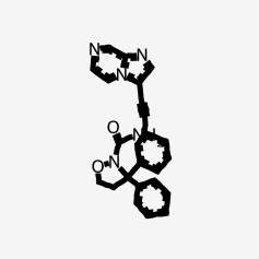 NC(=O)N1OCCC1(c1ccccc1)c1cccc(C#Cc2cnc3cnccn23)c1